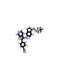 CC(C)(C)[Si](C)(C)O/N=C1/CCc2cc(Nc3c(-c4ccc(C#N)cc4)oc4cnccc34)ccc21